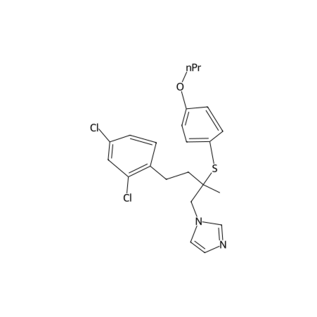 CCCOc1ccc(SC(C)(CCc2ccc(Cl)cc2Cl)Cn2ccnc2)cc1